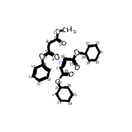 COC(=O)CC(=O)Oc1ccccc1.O=C(/C=C\C(=O)OC1CCCCC1)OC1CCCCC1